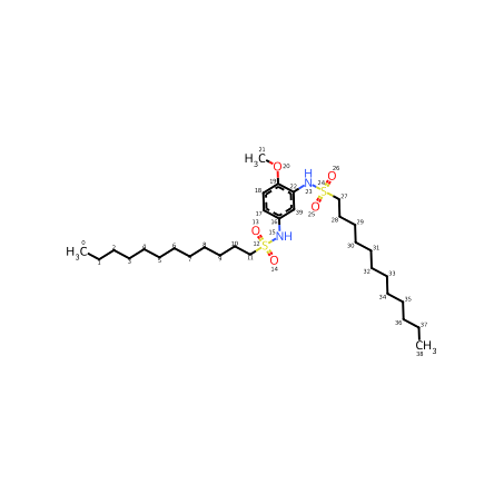 CCCCCCCCCCCCS(=O)(=O)Nc1ccc(OC)c(NS(=O)(=O)CCCCCCCCCCCC)c1